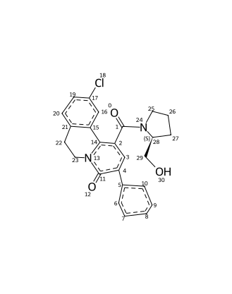 O=C(c1cc(-c2ccccc2)c(=O)n2c1-c1cc(Cl)ccc1CC2)N1CCC[C@H]1CO